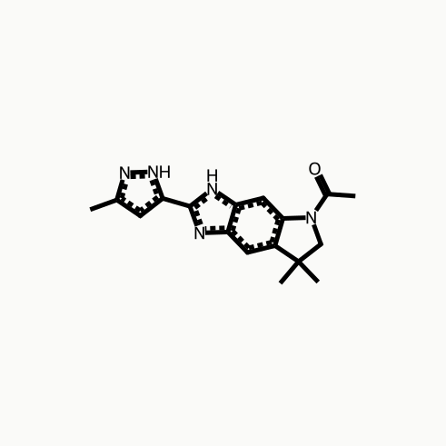 CC(=O)N1CC(C)(C)c2cc3nc(-c4cc(C)n[nH]4)[nH]c3cc21